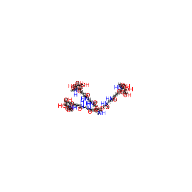 CNC(COCCC(=O)NCCCNC(=O)CCCCO[C@@H]1OC(CO)[C@H](O)C(O)C1NC(C)=O)(COCCC(=O)NCCCNC(=O)CCCCO[C@@H]1OC(CO)[C@H](O)C(O)[C@@H]1NC(C)=O)COCCC(=O)NCCCNC(=O)CCCCO[C@@H]1CC(CO)[C@H](O)C(O)C1NC(C)=O